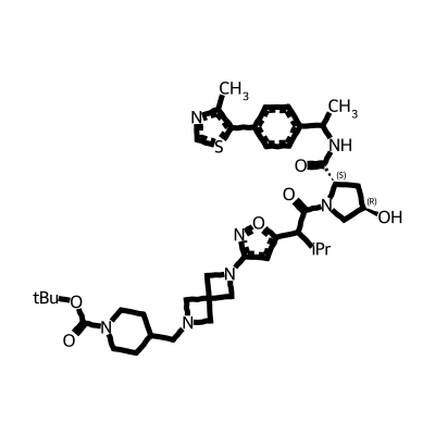 Cc1ncsc1-c1ccc(C(C)NC(=O)[C@@H]2C[C@@H](O)CN2C(=O)C(c2cc(N3CC4(CN(CC5CCN(C(=O)OC(C)(C)C)CC5)C4)C3)no2)C(C)C)cc1